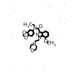 CCN(C(=O)c1nn(CCN2CCOCC2)c2c(OC)cccc12)c1ccc2c(c1)OCO2